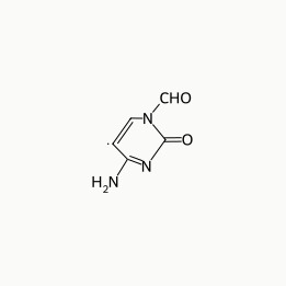 Nc1[c]cn(C=O)c(=O)n1